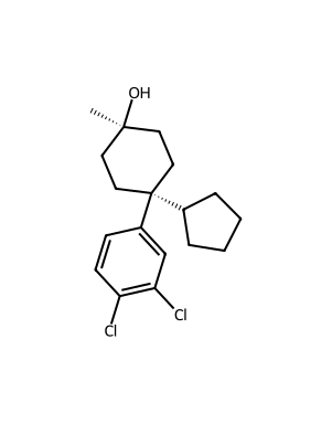 C[C@]1(O)CC[C@](c2ccc(Cl)c(Cl)c2)(C2CCCC2)CC1